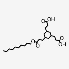 CCCCCCCCCCOC(=O)CCC1CC(CCC(=O)O)CC(CCC(=O)O)C1